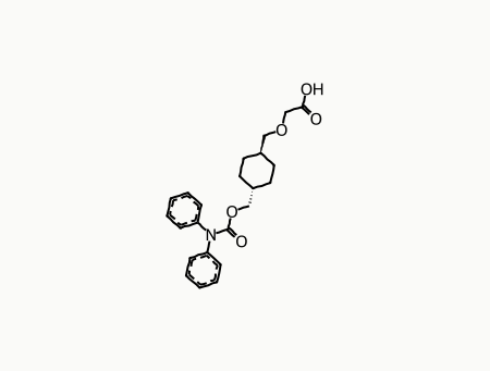 O=C(O)COC[C@H]1CC[C@H](COC(=O)N(c2ccccc2)c2ccccc2)CC1